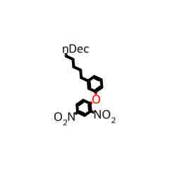 CCCCCCCCCCCCCCCc1cccc(Oc2ccc([N+](=O)[O-])cc2[N+](=O)[O-])c1